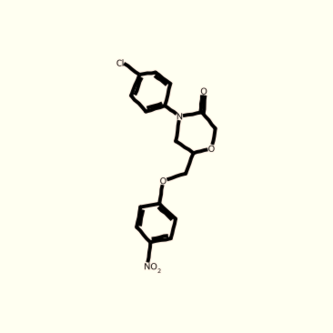 O=C1COC(COc2ccc([N+](=O)[O-])cc2)CN1c1ccc(Cl)cc1